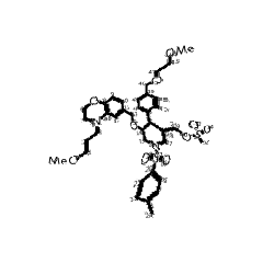 COCCCN1CCOc2ccc(COC3CN(S(=O)(=O)c4ccc(C)cc4)CC(COS(C)(=O)=O)C3c3ccc(COCCOC)cc3)cc21